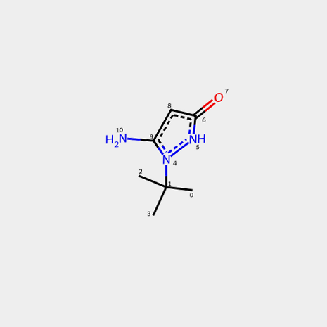 CC(C)(C)n1[nH]c(=O)cc1N